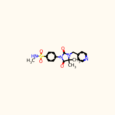 CNS(=O)(=O)c1ccc(N2C(=O)N(Cc3ccncc3)C(C)(C)C2=O)cc1